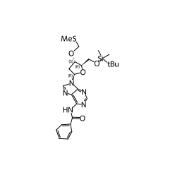 CSCO[C@H]1C[C@H](n2cnc3c(NC(=O)c4ccccc4)ncnc32)O[C@@H]1CO[Si](C)(C)C(C)(C)C